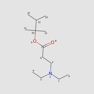 CCN(CC)CCC(=O)OC(C)(C)C(C)C